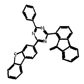 C=C1c2ccccc2-c2cccc(-c3nc(-c4ccccc4)nc(-c4ccc5c(c4)sc4ccccc45)n3)c21